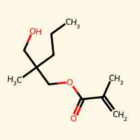 C=C(C)C(=O)OCC(C)(CO)CCC